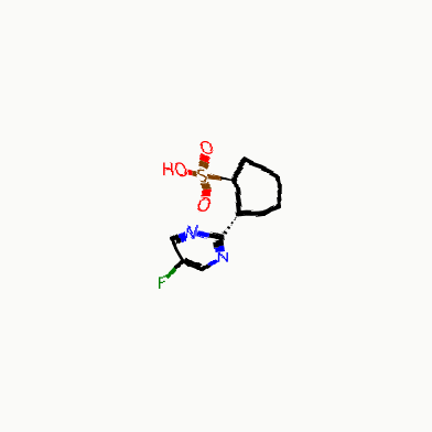 O=S(=O)(O)[C@H]1CCCC[C@@H]1c1ncc(F)cn1